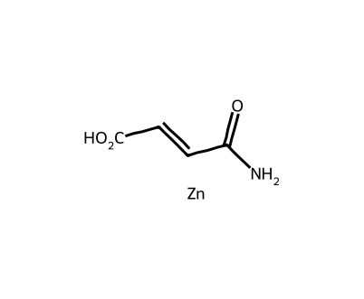 NC(=O)C=CC(=O)O.[Zn]